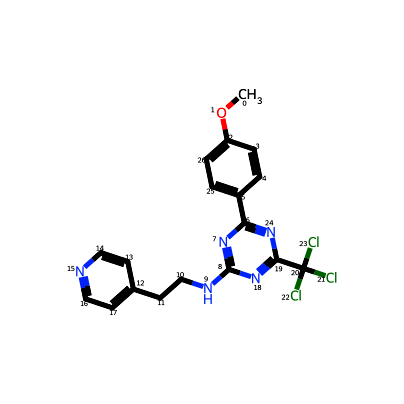 COc1ccc(-c2nc(NCCc3ccncc3)nc(C(Cl)(Cl)Cl)n2)cc1